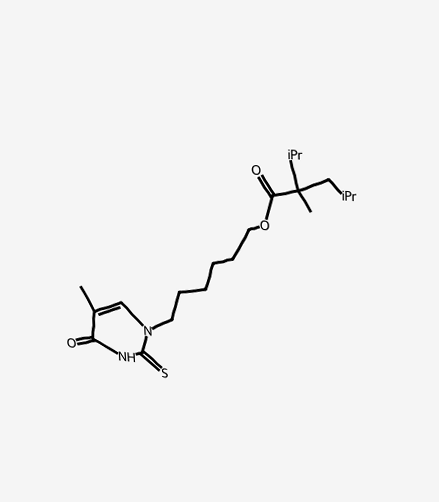 Cc1cn(CCCCCCOC(=O)C(C)(CC(C)C)C(C)C)c(=S)[nH]c1=O